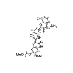 COCCOc1cc2cc(C(=O)Nc3cc(C(=O)NC(CN)c4cccc(Cl)c4)ccc3Cl)c(=O)[nH]c2cc1OC